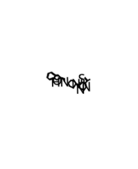 Cc1csc2c(N3CCC(NCC4Cc5ccccc5O4)CC3)ncnc12